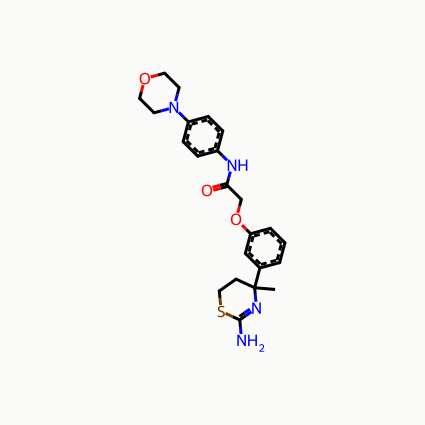 CC1(c2cccc(OCC(=O)Nc3ccc(N4CCOCC4)cc3)c2)CCSC(N)=N1